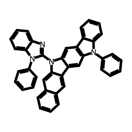 c1ccc(-n2c(-n3c4cc5ccccc5cc4c4cc5c(cc43)c3ccccc3n5-c3ccccc3)nc3ccccc32)cc1